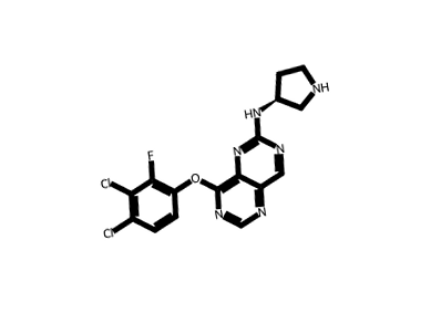 Fc1c(Oc2ncnc3cnc(N[C@H]4CCNC4)nc23)ccc(Cl)c1Cl